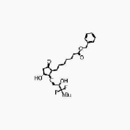 CCCCC(F)(F)[C@H](O)C=C=C1C(CCCCCCC(=O)OCc2ccccc2)C(=O)C[C@H]1O